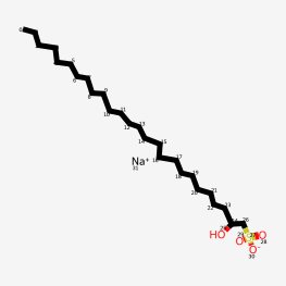 CCCCCCCCCCCCCCCCCCCCCCCCC(O)CS(=O)(=O)[O-].[Na+]